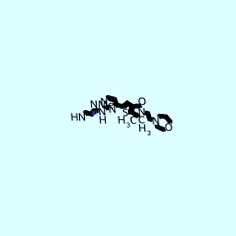 CN/C(=C\C=N)Nc1nccc(-c2cc3c(s2)C(C)(C)N(CCN2CCCOCC2)C3=O)n1